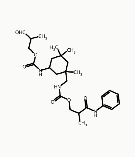 CC(C=O)COC(=O)NC1CC(C)(C)CC(C)(CNC(=O)OCC(C)C(=O)Nc2ccccc2)C1